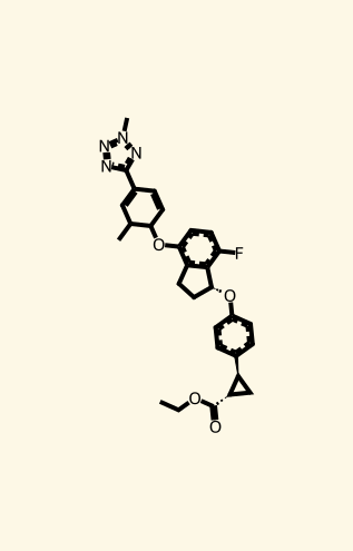 CCOC(=O)[C@H]1C[C@@H]1c1ccc(O[C@@H]2CCc3c(OC4C=CC(c5nnn(C)n5)=CC4C)ccc(F)c32)cc1